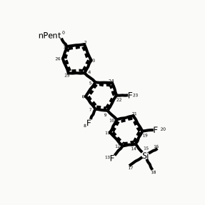 CCCCCc1ccc(-c2cc(F)c(-c3cc(F)c([Si](C)(C)C)c(F)c3)c(F)c2)cc1